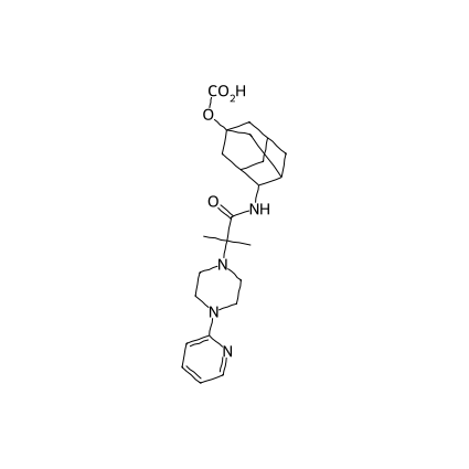 CC(C)(C(=O)NC1C2CC3CC1CC(OC(=O)O)(C3)C2)N1CCN(c2ccccn2)CC1